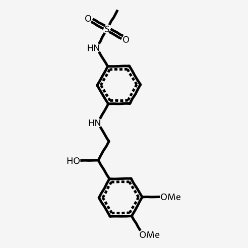 COc1ccc(C(O)CNc2cccc(NS(C)(=O)=O)c2)cc1OC